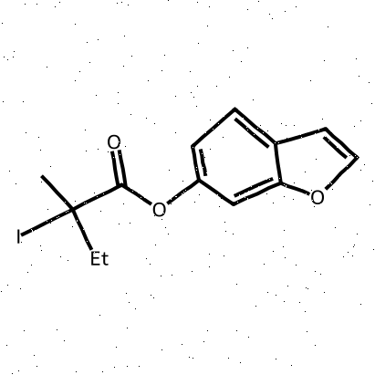 CCC(C)(I)C(=O)Oc1ccc2ccoc2c1